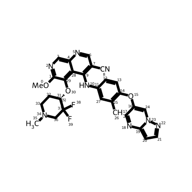 COc1ncc2ncc(C#N)c(Nc3ccc(Oc4cnc5ccnn5c4)c(C)c3)c2c1O[C@H]1CCN(C)CC1(F)F